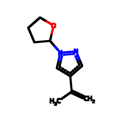 C=C(C)c1cnn(C2CCCO2)c1